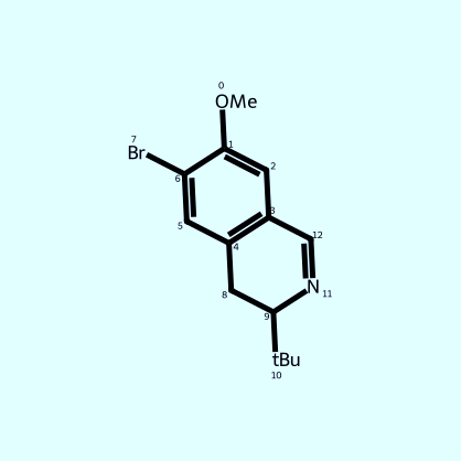 COc1cc2c(cc1Br)CC(C(C)(C)C)N=C2